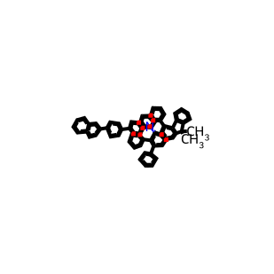 CC1(C)c2ccccc2-c2c(-c3ccccc3N(c3ccc(-c4ccc(-c5ccc6ccccc6c5)cc4)cc3)c3cccc(-c4ccccc4)c3-c3ccccc3-c3ccccc3)cccc21